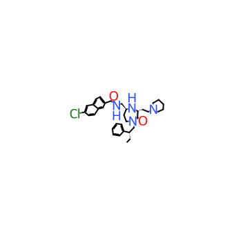 CC[C@@H](CN1CC[C@@H](CNC(=O)c2ccc3cc(Cl)ccc3c2)N[C@H](CCN2CCCCC2)C1=O)c1ccccc1